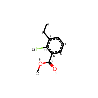 CCc1cccc(C(=O)OC)c1F